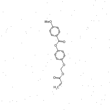 C=CC(=O)OCOc1ccc(OC(=O)c2ccc(OC)cc2)cc1